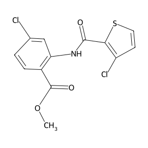 COC(=O)c1ccc(Cl)cc1NC(=O)c1sccc1Cl